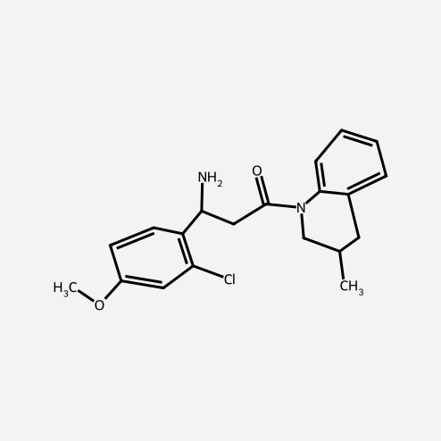 COc1ccc(C(N)CC(=O)N2CC(C)Cc3ccccc32)c(Cl)c1